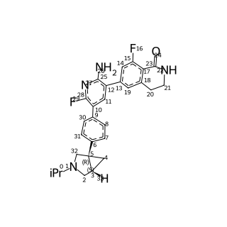 CC(C)N1C[C@H]2C[C@@]2(c2ccc(-c3cc(-c4cc(F)c5c(c4)CCNC5=O)c(N)nc3F)cc2)C1